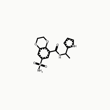 CC(NC(=O)c1cc(S(N)(=O)=O)cc2c1OCCO2)c1ccc[nH]1